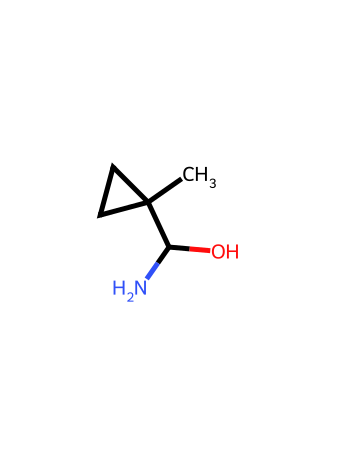 CC1(C(N)O)CC1